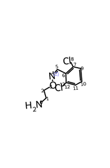 NCCO/N=C\c1c(Cl)cccc1Cl